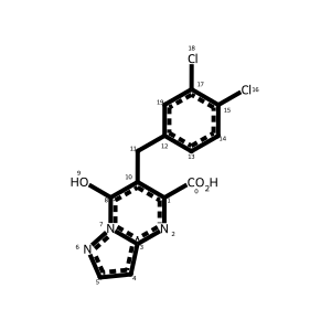 O=C(O)c1nc2ccnn2c(O)c1Cc1ccc(Cl)c(Cl)c1